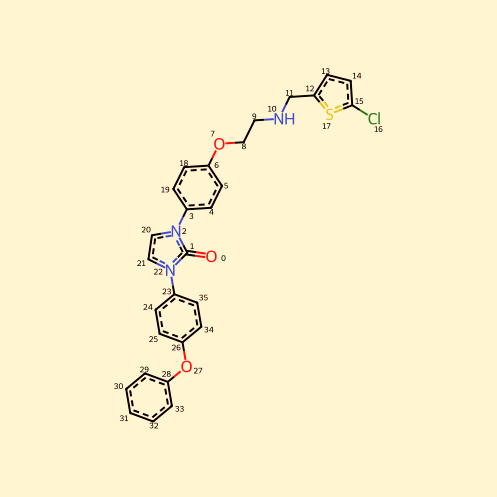 O=c1n(-c2ccc(OCCNCc3ccc(Cl)s3)cc2)ccn1-c1ccc(Oc2ccccc2)cc1